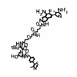 Cc1ncsc1-c1ccc(CNC(=O)[C@@H]2C[C@@H](O)CN2C(=O)[C@@H](NC(=O)CCOCCNC(=O)CCCC(=O)Nc2cc3cc(-c4cncc(N)c4C)c(F)c(N)c3cn2)C(C)(C)C)cc1